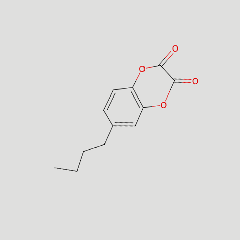 CCCCc1ccc2oc(=O)c(=O)oc2c1